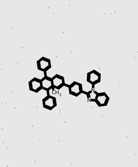 CC12C=C(c3ccc(-c4nc5ccccc5n4-c4ccccc4)cc3)C=CC1=C(c1ccccc1)c1ccccc1C2c1ccccc1